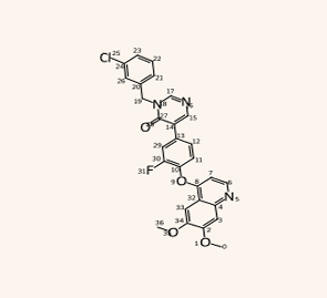 COc1cc2nccc(Oc3ccc(-c4cncn(Cc5cccc(Cl)c5)c4=O)cc3F)c2cc1OC